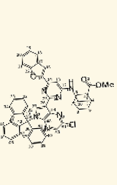 COC(=O)C1C2CCC(CC2)C1Nc1cc(-c2cc3ccccc3o2)nc(-c2cn(C(c3ccccc3)(c3ccccc3)c3ccccc3)c3ncc(Cl)nc23)n1